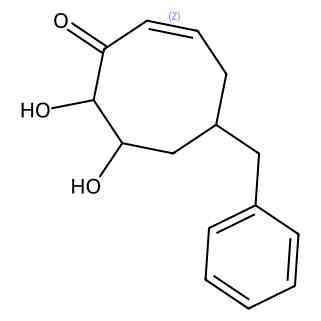 O=C1/C=C\CC(Cc2ccccc2)CC(O)C1O